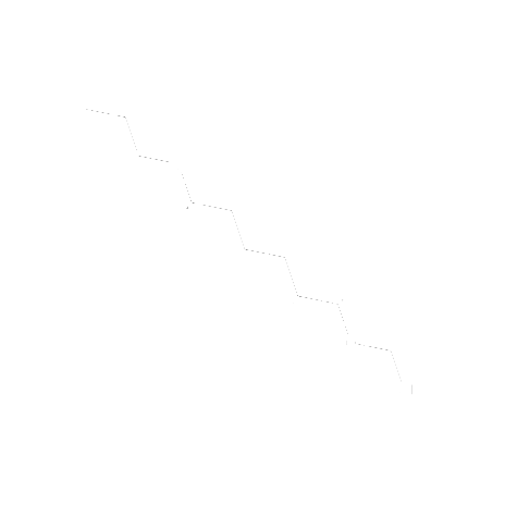 CCCOCCCCCCOCO